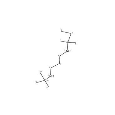 CCC(C)(C)NCCCNC(C)(C)C